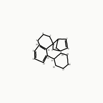 C1=CC2CC1CC21CCCc2cccc(C3CCCCC3)c21